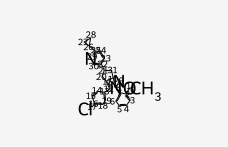 COc1ccccc1-n1nc2c(c1-c1ccc(Cl)cc1)CC(c1ccc(C3CC3)nc1)C2